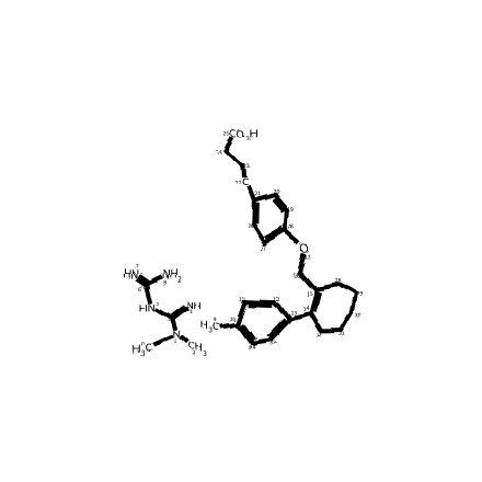 CN(C)C(=N)NC(=N)N.Cc1ccc(C2=C(COc3ccc(CCCC(=O)O)cc3)CCCCC2)cc1